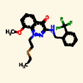 CCSCCn1nc(NCc2ccccc2C(F)(F)F)c(=O)c2cccc(OC)c21